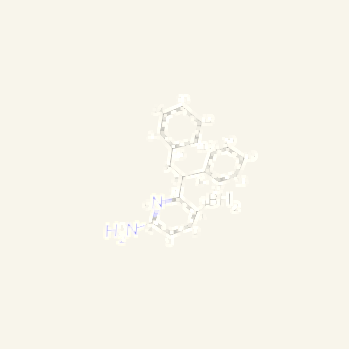 Bc1ccc(N)nc1C(Cc1ccccc1)c1ccccc1